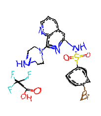 O=C(O)C(F)(F)F.O=S(=O)(Nc1cc2cccnc2c(N2CCNCC2)n1)c1ccc(Br)cc1